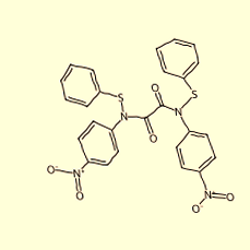 O=C(C(=O)N(Sc1ccccc1)c1ccc([N+](=O)[O-])cc1)N(Sc1ccccc1)c1ccc([N+](=O)[O-])cc1